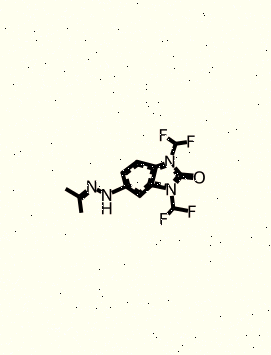 CC(C)=NNc1ccc2c(c1)n(C(F)F)c(=O)n2C(F)F